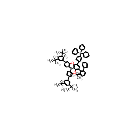 CC(C)(C)c1cc(-c2ccc3c(c2)Oc2c(-c4ccc([Si](c5ccccc5)(c5ccccc5)c5ccccc5)cc4)cc(-c4c(-c5ccccc5)cccc4C(C)(C)C)c4c2B3c2ccc(-c3cc(C(C)(C)C)cc(C(C)(C)C)c3)cc2O4)cc(C(C)(C)C)c1